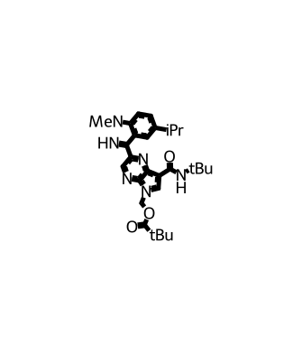 CNc1ccc(C(C)C)cc1C(=N)c1cnc2c(n1)c(C(=O)NC(C)(C)C)cn2COC(=O)C(C)(C)C